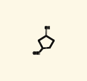 O=[C]C1CCC(O)C1